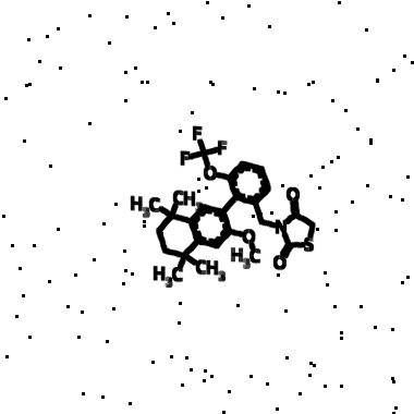 COc1cc2c(cc1-c1c(CN3C(=O)CSC3=O)cccc1OC(F)(F)F)C(C)(C)CCC2(C)C